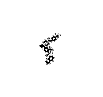 CCC(F)(F)c1ccc(CC(=O)N2CCN(C3(c4ccc(N[S+]([O-])c5cccc6cccnc56)c(C(C)(F)F)c4)C4CC43)CC2)cc1